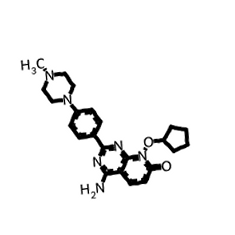 CN1CCN(c2ccc(-c3nc(N)c4ccc(=O)n(OC5CCCC5)c4n3)cc2)CC1